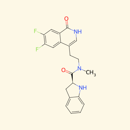 CN(CCc1c[nH]c(=O)c2cc(F)c(F)cc12)C(=O)[C@@H]1Cc2ccccc2N1